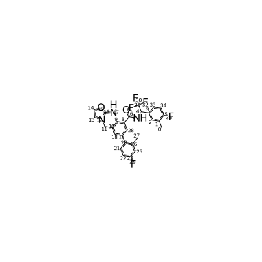 Cc1cc([C@H](NC(=O)c2cc(Cn3ccoc3=N)cc(-c3ccc(F)cc3C)c2)C(F)(F)F)ccc1F